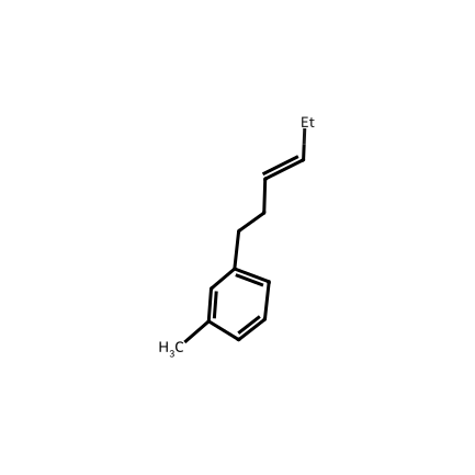 CCC=CCCc1cccc(C)c1